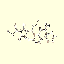 CCCCc1c(F)n(C(=O)CC)c(=O)n1Cc1ccc(-c2ccccc2C(=O)O)cc1